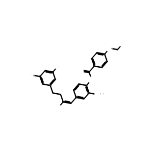 COc1cc(C=C(CCc2cc(N)cc(N)c2)C(=O)O)ccc1OC(=O)c1ccc(OCC(F)(F)F)cc1